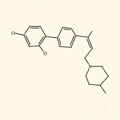 CC(=CCN1CCC(C)CC1)c1ccc(-c2ccc(Cl)cc2Cl)cc1